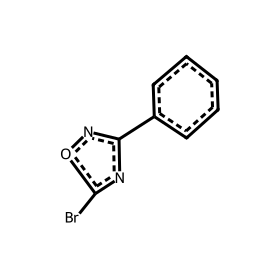 Brc1nc(-c2ccccc2)no1